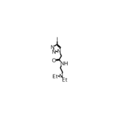 CCN(CC)CCNC(=O)Cn1cc(I)nn1